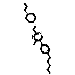 CCCCCc1ccc(-c2cnc(CC[C@H]3CC[C@H](CCC)CC3)nc2C)cc1